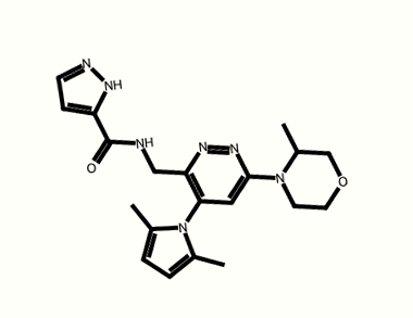 Cc1ccc(C)n1-c1cc(N2CCOCC2C)nnc1CNC(=O)c1ccn[nH]1